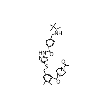 CC(=O)N1CCN(C(=O)c2cc(CSc3cnc(NC(=O)c4ccc(CN[C@H](C)C(C)(C)C)cc4)s3)cc(C)c2C)CC1